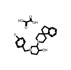 O=C(O)C(=O)O.OC1CCN(Cc2ccc(F)cc2)CC1N1CCC2(CCc3ccccc32)CC1